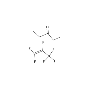 CCC(=O)CC.FC(F)=C(F)C(F)(F)F